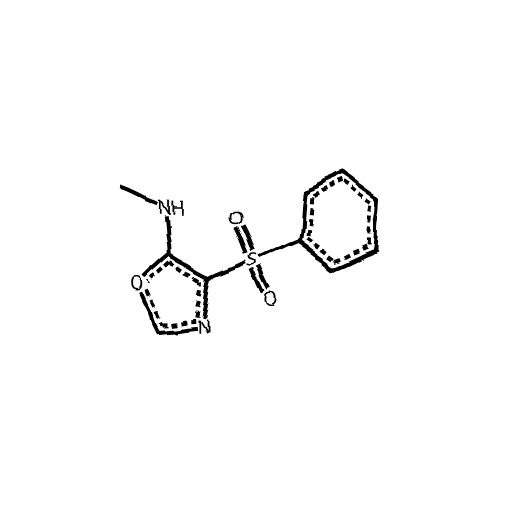 CNc1ocnc1S(=O)(=O)c1ccccc1